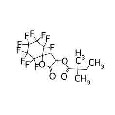 CCC(C)(C)C(=O)OC1CC2(OC1=O)C(F)(F)C(F)(F)C(F)(F)C(F)(F)C2(F)F